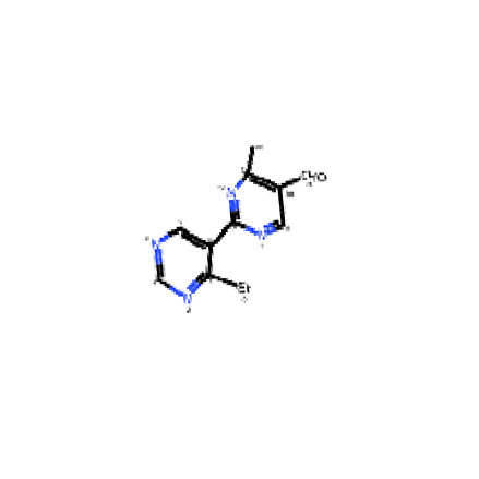 CCc1ncncc1-c1ncc(C=O)c(C)n1